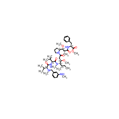 CC[C@H](C)[C@@H]([C@@H](CC(=O)N1CCC[C@H]1[C@H](OC)[C@@H](C)C(=O)N[C@@H](Cc1ccccc1)C(=O)OC)OC)N(C)C(=O)[C@@H](NC(=O)[C@H](C(C)C)N(C)Cc1cccc(NC)c1)C(C)C